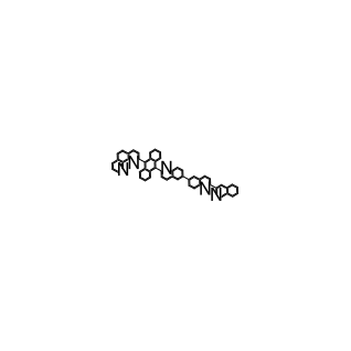 c1ccc2cc(-c3ccc4cc(-c5ccc6nc(-c7c8ccccc8c(-c8ccc9ccc%10cccnc%10c9n8)c8ccccc78)ccc6c5)ccc4n3)ncc2c1